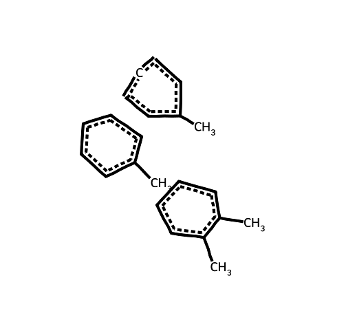 Cc1ccccc1.Cc1ccccc1.Cc1ccccc1C